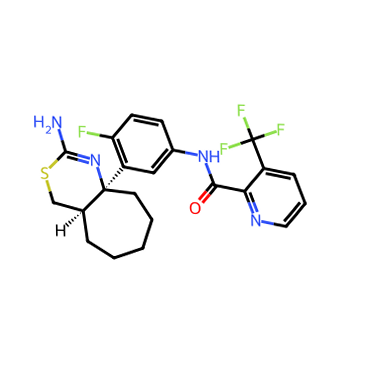 NC1=N[C@@]2(c3cc(NC(=O)c4ncccc4C(F)(F)F)ccc3F)CCCCC[C@H]2CS1